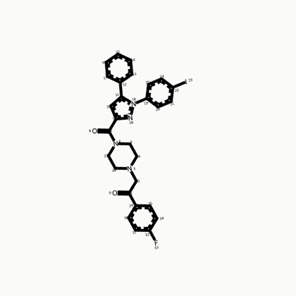 O=C(CN1CCN(C(=O)c2cc(-c3ccccc3)n(-c3ccc(I)cc3)n2)CC1)c1ccc(F)cc1